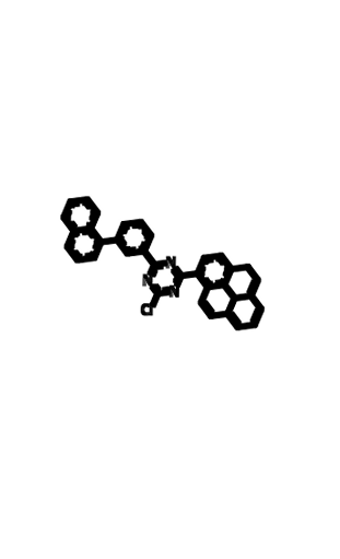 Clc1nc(-c2cccc(-c3cccc4ccccc34)c2)nc(-c2ccc3c4c2C=CC2=CC=CC(=CC3)C24)n1